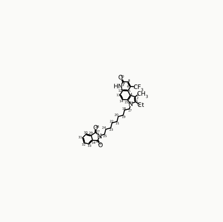 CCc1c(C)c2c3c(C(F)(F)F)cc(=O)[nH]c3ccc2n1CCCCCCCCCN1C(=O)c2ccccc2C1=O